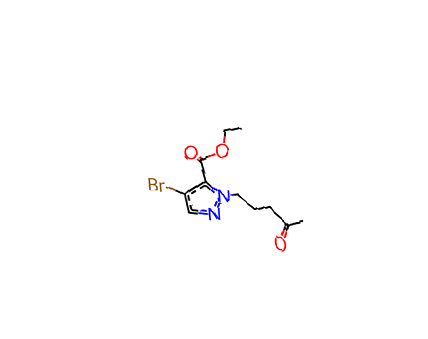 CCOC(=O)c1c(Br)cnn1CCCC(C)=O